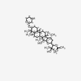 CC(=O)OC(C1C[C@@H](C)C2C(O1)[C@H](O)[C@@]1(C)C3CC[C@H]4C(C)(C)C(O[C@H]5CNCCO5)CCC45CC35CCC21C)C(C)(C)O